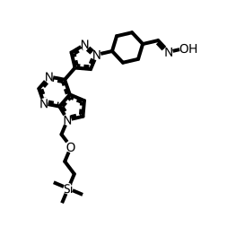 C[Si](C)(C)CCOCn1ccc2c(-c3cnn(C4CCC(C=NO)CC4)c3)ncnc21